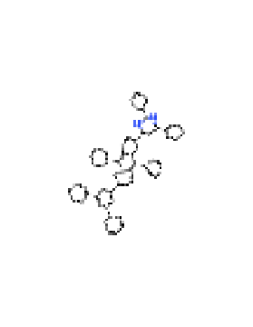 c1ccc(-c2cc(-c3ccccc3)cc(-c3ccc4c(-c5ccccc5)c5cc(-c6cc(-c7ccccc7)nc(-c7ccccc7)n6)ccc5c(-c5ccccc5)c4c3)c2)cc1